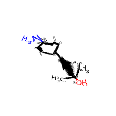 CC(C)(O)C#Cc1c[c]c(N)cc1